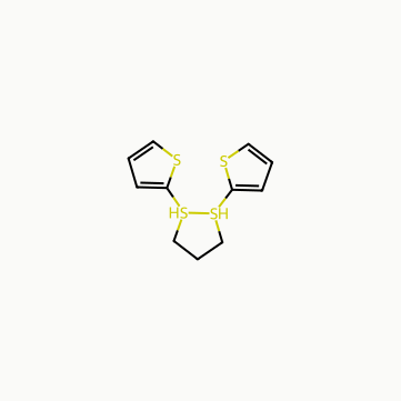 c1csc([SH]2CCC[SH]2c2cccs2)c1